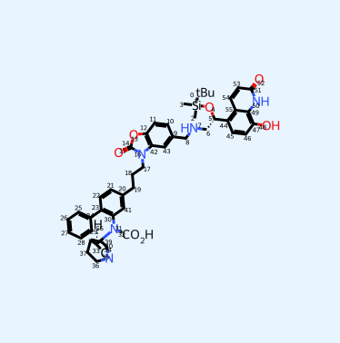 CC(C)(C)[Si](C)(C)O[C@@H](CNCc1ccc2oc(=O)n(CCCc3ccc(-c4ccccc4)c(N(C(=O)O)[C@H]4CN5CCC4CC5)c3)c2c1)c1ccc(O)c2[nH]c(=O)ccc12